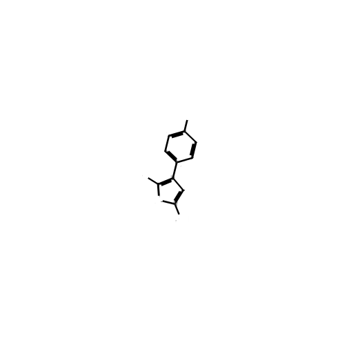 CCCCCCCCc1ccc(-c2cc(C)sc2C)cc1